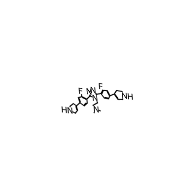 CN(C)CCn1c(-c2ccc(C3=CCNCC3)cc2F)nnc1-c1ccc(C2=CCNCC2)cc1F